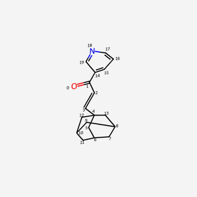 O=C(C=CC12CC3CC(CC(C3)C1)C2)c1cccnc1